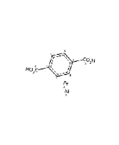 O=C(O)c1ccc(C(=O)O)cc1.[Fe].[Ni]